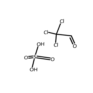 O=CC(Cl)(Cl)Cl.O=S(=O)(O)O